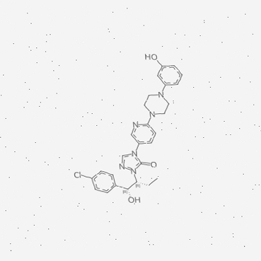 CC[C@H]([C@H](O)c1ccc(Cl)cc1)n1ncn(-c2ccc(N3CCN(c4cccc(O)c4)CC3)nc2)c1=O